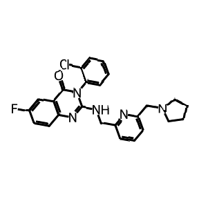 O=c1c2cc(F)ccc2nc(NCc2cccc(CN3CCCC3)n2)n1-c1ccccc1Cl